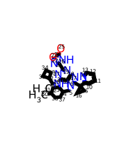 CC1CCC(Cn2c(C3(c4ccccn4)CC3)nc3nc(-c4noc(=O)[nH]4)nc(N[C@H](C)C4CCC4)c32)CC1